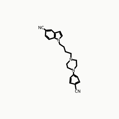 N#Cc1ccc(N2CCN(CCCCn3ccc4cc(C#N)ccc43)CC2)cc1